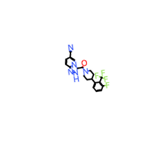 N#CC1=CN2C(=NNC2C(=O)N2CCC(c3cccc(F)c3C(F)(F)F)CC2)C=C1